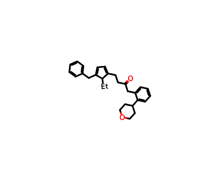 CCC1C(CCC(=O)Cc2ccccc2C2CCOCC2)=CC=C1Cc1ccccc1